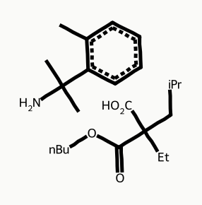 CCCCOC(=O)C(CC)(CC(C)C)C(=O)O.Cc1ccccc1C(C)(C)N